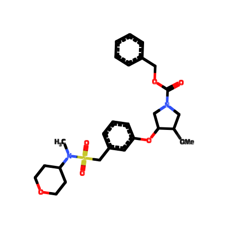 COC1CN(C(=O)OCc2ccccc2)CC1Oc1cccc(CS(=O)(=O)N(C)C2CCOCC2)c1